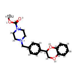 CC(C)(C)OC(=O)N1CCN(Cc2ccc(C3COc4ccccc4O3)cc2)CC1